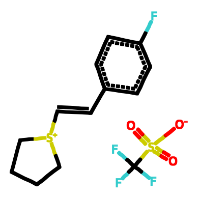 Fc1ccc(/C=C/[S+]2CCCC2)cc1.O=S(=O)([O-])C(F)(F)F